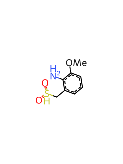 COc1cccc(C[SH](=O)=O)c1N